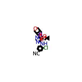 Cc1c(Nc2ccc(C#N)cc2Cl)ncnc1OC1C2COCC1CN(C(=O)OC1(C)CC1)C2